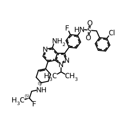 CC(C)n1nc(-c2ccc(NS(=O)(=O)Cc3ccccc3Cl)c(F)c2)c2c(N)ncc(C3=CC[C@@H](NC[C@H](C)F)CC3)c21